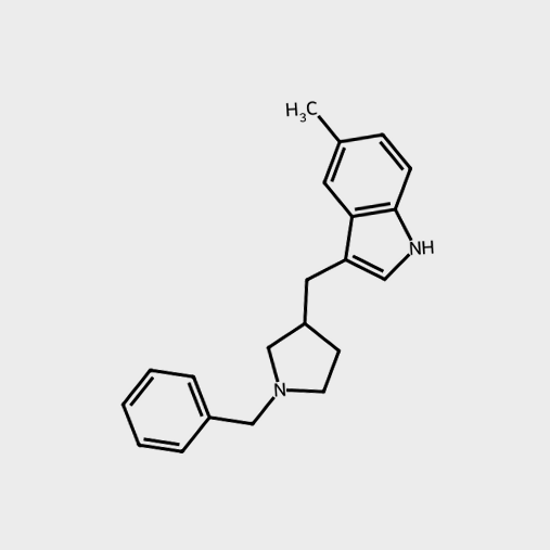 Cc1ccc2[nH]cc(CC3CCN(Cc4ccccc4)C3)c2c1